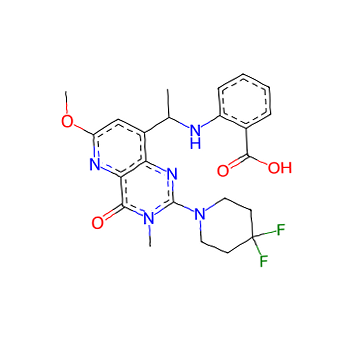 COc1cc(C(C)Nc2ccccc2C(=O)O)c2nc(N3CCC(F)(F)CC3)n(C)c(=O)c2n1